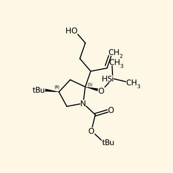 C=CC(CCO)[C@@]1(O[SiH](C)C)C[C@H](C(C)(C)C)CN1C(=O)OC(C)(C)C